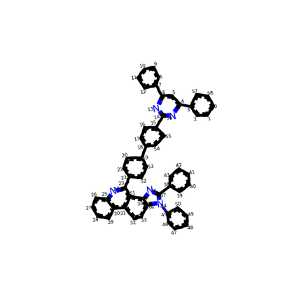 c1ccc(-c2cc(-c3ccccc3)nc(-c3ccc(-c4ccc(-c5nc6ccccc6c6ccc7c(nc(-c8ccccc8)n7-c7ccccc7)c56)cc4)cc3)n2)cc1